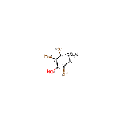 O=C(O)CCS.OCC(S)CS